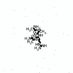 C[C@H](N)C(=O)N[C@@H](C)C(=O)N[C@@H](CCCNC(=N)N)C(=O)N[C@@H](C)C(N)=O